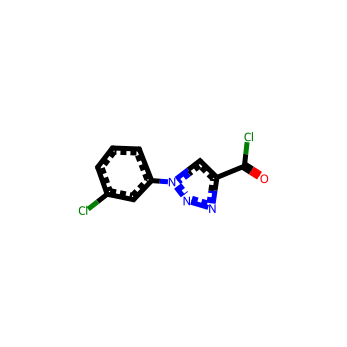 O=C(Cl)c1cn(-c2cccc(Cl)c2)nn1